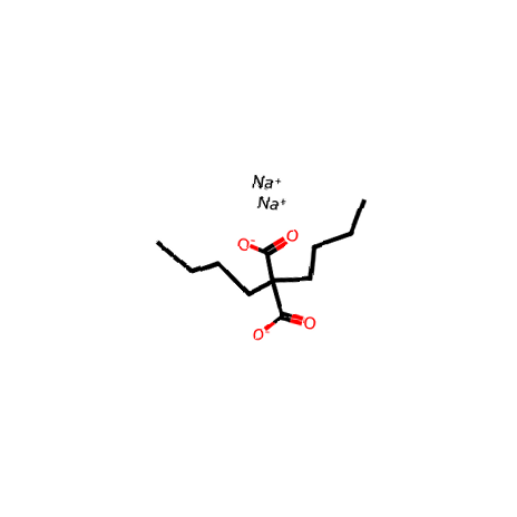 CCCCC(CCCC)(C(=O)[O-])C(=O)[O-].[Na+].[Na+]